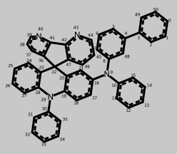 c1ccc(-c2cccc(N(c3ccccc3)c3ccc4c(c3)C3(c5ccccc5N4c4ccccc4)c4cccnc4-c4ncccc43)c2)cc1